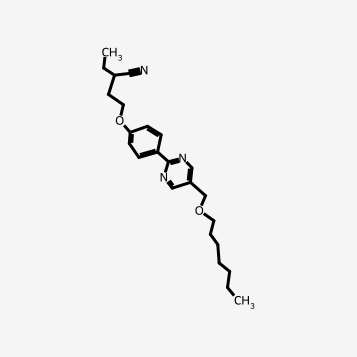 CCCCCCCOCc1cnc(-c2ccc(OCCC(C#N)CC)cc2)nc1